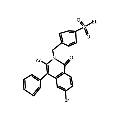 CCS(=O)(=O)c1ccc(Cn2c(C(C)=O)c(-c3ccccc3)c3cc(Br)ccc3c2=O)cc1